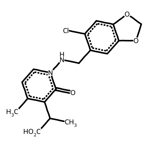 Cc1ccn(NCc2cc3c(cc2Cl)OCO3)c(=O)c1C(C)C(=O)O